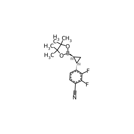 CC1(C)OB([C@H]2C[C@@H]2c2ccc(C#N)c(F)c2F)OC1(C)C